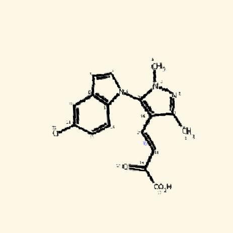 Cc1nn(C)c(-n2ccc3cc(Cl)ccc32)c1/C=C/C(=O)C(=O)O